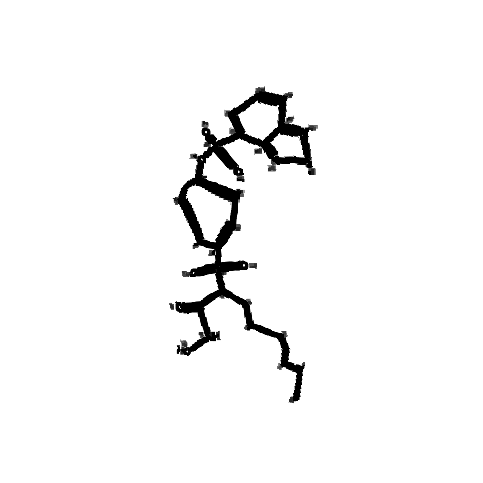 CCCCCCC(C(=O)NO)S(=O)(=O)c1ccc(OS(=O)(=O)c2cccc3nsnc23)cc1